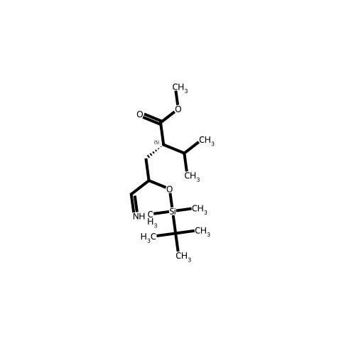 COC(=O)[C@@H](CC(C=N)O[Si](C)(C)C(C)(C)C)C(C)C